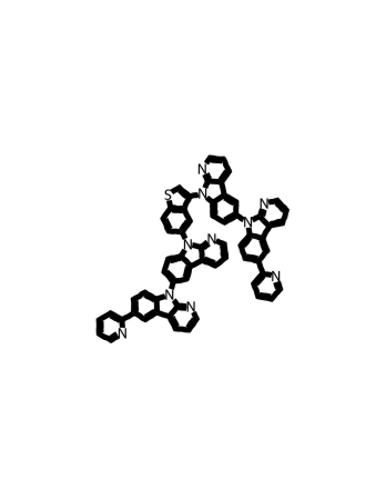 c1ccc(-c2ccc3c(c2)c2cccnc2n3-c2ccc3c(c2)c2cccnc2n3-c2ccc3scc(-n4c5ccc(-n6c7ccc(-c8ccccn8)cc7c7cccnc76)cc5c5cccnc54)c3c2)nc1